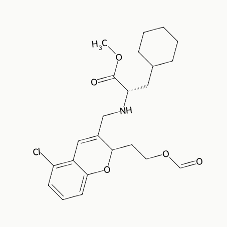 COC(=O)[C@H](CC1CCCCC1)NCC1=Cc2c(Cl)cccc2OC1CCOC=O